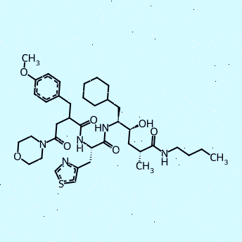 CCCCNC(=O)[C@H](C)C[C@H](O)[C@H](CC1CCCCC1)NC(=O)[C@H](Cc1cscn1)NC(=O)C(CC(=O)N1CCOCC1)Cc1ccc(OC)cc1